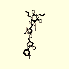 CCCn1c(=O)c2[nH]c(-c3cc(OCC4CC(=O)N(c5cccc(F)c5)C4)n(C)n3)nc2n(CCC)c1=O